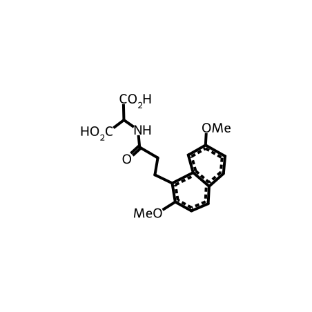 COc1ccc2ccc(OC)c(CCC(=O)NC(C(=O)O)C(=O)O)c2c1